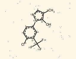 Cc1cnn(-c2ccc(Cl)c(C(F)(F)F)c2)c1O